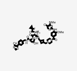 CNc1nc(Nc2ccc(C(=O)N3CCN(CC4CC(CSC(C)(C)[C@@H](NC(=O)C5(F)CC5)C(=O)N5C[C@H](O)C[C@H]5C(=O)NCc5ccc(-c6scnc6C)cc5)C4)CC3)cc2OC)ncc1Cl